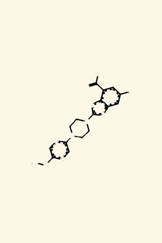 CC(C)Nc1cnc(N2CCN(c3nc4c(C(N)=O)cc(F)cc4[nH]3)CC2)cn1